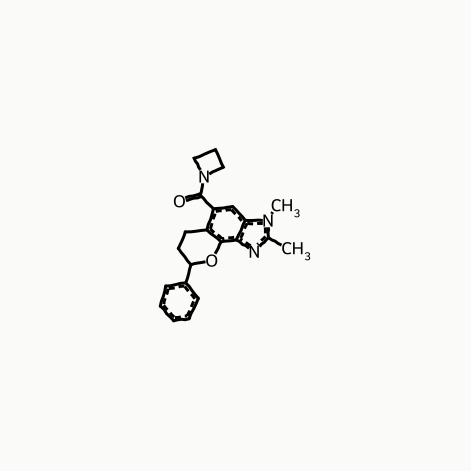 Cc1nc2c3c(c(C(=O)N4CCC4)cc2n1C)CCC(c1ccccc1)O3